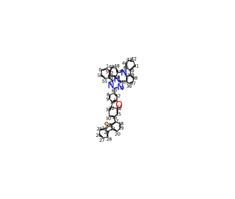 c1ccc(-c2nc(-c3ccc4c(c3)oc3cc(-c5cccc6c5sc5ccccc56)ccc34)nc(-c3cccc4c5ccccc5n(-c5ccccc5)c34)n2)cc1